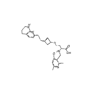 Cc1cc(Cl)c(CN[C@@H](CCOC2CC(CCc3ccc4c(n3)NCCC4)C2)C(=O)O)c(C)n1